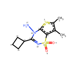 Cc1sc2c(c1C)S(=O)(=O)N=C(C1CCC1)N2N